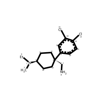 CCN(C)[C@H]1CC[C@@](CN)(c2ccc(Cl)c(Cl)c2)CC1